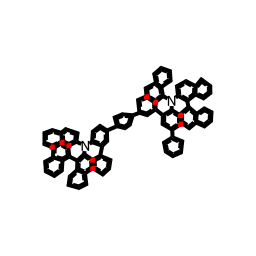 c1ccc(-c2ccc(N(c3ccc4ccccc4c3-c3cccc4ccccc34)c3cccc4ccccc34)c(-c3cccc(-c4ccc(-c5ccc(N(c6ccc7ccccc7c6)c6ccc7ccccc7c6-c6cccc7ccccc67)c(-c6ccccc6)c5)cc4)c3)c2)cc1